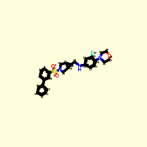 O=S(=O)(c1cccc(-c2ccccc2)c1)N1CC2C(CNc3ccc(N4CCOCC4)c(F)c3)C2C1